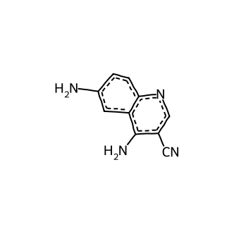 N#Cc1cnc2ccc(N)cc2c1N